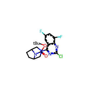 CC(C)(C)OC(=O)N1C2CCC1CN(c1nc(Cl)nc3c(F)cc(F)cc13)C2